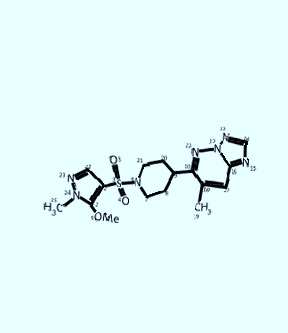 COc1c(S(=O)(=O)N2CCC(c3nn4ncnc4cc3C)CC2)cnn1C